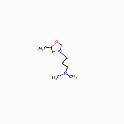 CC1CN(CCCN(C)C)CO1